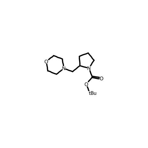 CC(C)(C)OC(=O)N1CCCC1CN1CCOCC1